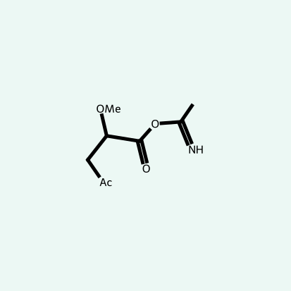 COC(CC(C)=O)C(=O)OC(C)=N